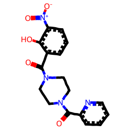 O=C(c1ccccn1)N1CCN(C(=O)c2cccc([N+](=O)[O-])c2O)CC1